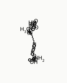 CC(Nc1cccc2c1C(=O)N(C1CCC(=O)NC1=O)C2=O)c1cn(CCCCCCCCCN2CCN(c3ccc(N4CCCC(Oc5cc(-c6ccccc6O)nnc5N)C4)cc3)CC2)nn1